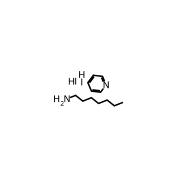 CCCCCCCN.I.I.c1ccncc1